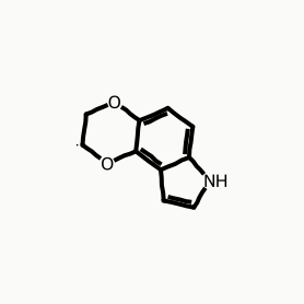 [CH]1COc2ccc3[nH]ccc3c2O1